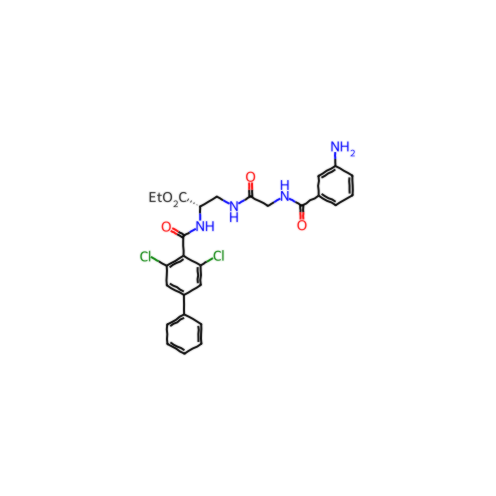 CCOC(=O)[C@H](CNC(=O)CNC(=O)c1cccc(N)c1)NC(=O)c1c(Cl)cc(-c2ccccc2)cc1Cl